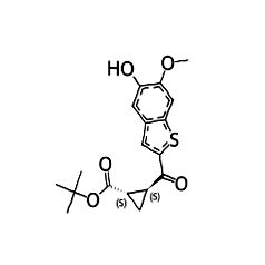 COc1cc2sc(C(=O)[C@H]3C[C@@H]3C(=O)OC(C)(C)C)cc2cc1O